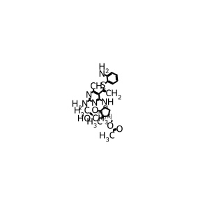 C=C(Sc1ccccc1N)c1c(C)nc(N)nc1N[C@@H]1C[C@H](COC(C)=O)[C@@H](C)[C@H]1OC(C)(C)O